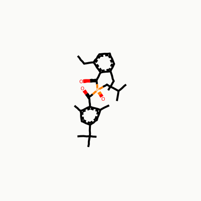 CCc1cccc(CC)c1C(=O)P(=O)(CC(C)C)C(=O)c1c(C)cc(C(C)(C)C)cc1C